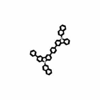 c1ccc(-c2ccc3c(c2)c2cc(-c4ccc(-c5ccc6c(c5)c5ccccc5n6-c5ccc6ccccc6c5)cc4)ccc2n3-c2ccc3ccccc3c2)cc1